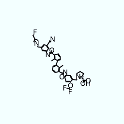 Cc1c(-c2nc3cc(CN4CCC[C@H]4C(=O)O)c(OC(F)F)cc3o2)cccc1-c1cccc(-c2nc3cc(CN4CC(CF)C4)cc(C#N)c3o2)c1C